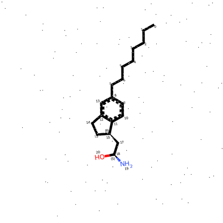 CCCCCCCCc1ccc2c(c1)CC[C@@H]2C[C@@H](N)O